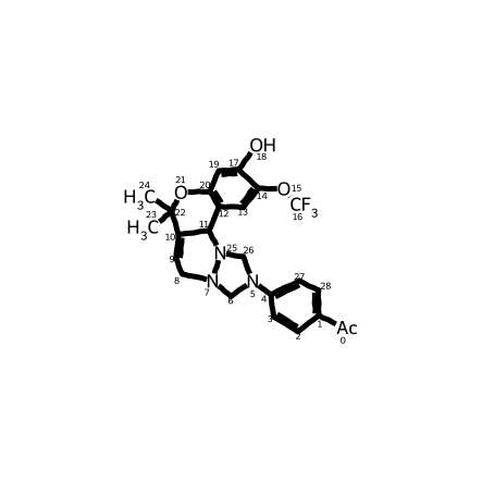 CC(=O)c1ccc(N2CN3CC=C4C(c5cc(OC(F)(F)F)c(O)cc5OC4(C)C)N3C2)cc1